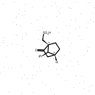 CC(C)C1[C@@H]2CC[C@@]1(CS(=O)(=O)O)C(=O)C2